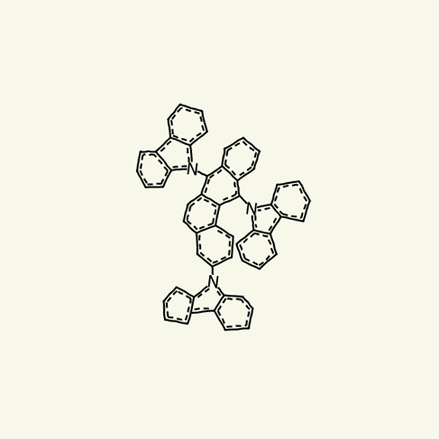 c1ccc2c(-n3c4ccccc4c4ccccc43)c3c(ccc4cc(-n5c6ccccc6c6ccccc65)ccc43)c(-n3c4ccccc4c4ccccc43)c2c1